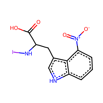 O=C(O)C(Cc1c[nH]c2cccc([N+](=O)[O-])c12)NI